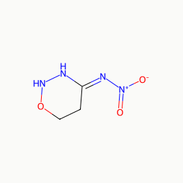 O=[N+]([O-])N=C1CCONN1